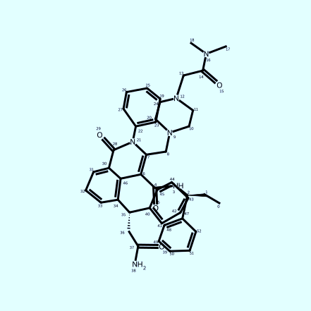 CC[C@H](NC(=O)c1c(CN2CCN(CC(=O)N(C)C)CC2)n(-c2ccccc2)c(=O)c2cccc([C@@H](CC(N)=O)c3ccccc3)c12)c1ccccc1